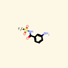 Nc1cccc(C(=O)NS(=O)(=O)C(F)(F)F)c1